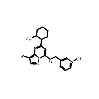 CC1CCCCC1c1cc(NCc2ccc[n+](O)c2)n2ncc(Br)c2n1